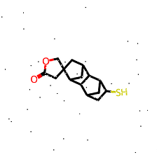 O=C1CC2(CO1)CC1CC2C2C3CC(S)C(C3)C12